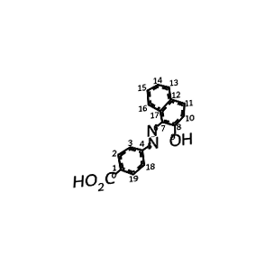 O=C(O)c1ccc(N=Nc2c(O)ccc3ccccc23)cc1